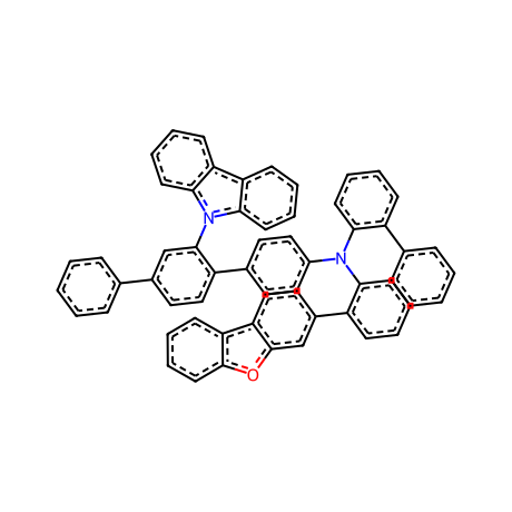 c1ccc(-c2ccc(-c3ccc(N(c4ccccc4-c4ccccc4)c4ccccc4-c4ccc5c(c4)oc4ccccc45)cc3)c(-n3c4ccccc4c4ccccc43)c2)cc1